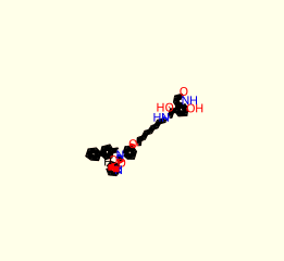 O=C(O[C@H]1CN2CCC1CC2)N(Cc1ccc(-c2ccccc2)cc1)c1cccc(OCCCCCCCCCNC[C@H](O)c2ccc(O)c3[nH]c(=O)ccc23)c1